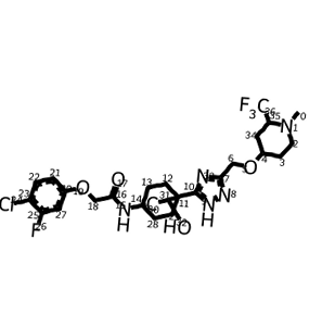 CN1CCC(OCc2n[nH]c(C34CCC(NC(=O)COc5ccc(Cl)c(F)c5)(CC3)CC4O)n2)CC1C(F)(F)F